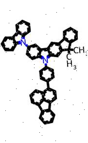 CC1(C)c2ccccc2-c2cc3c4cc(-n5c6ccccc6c6ccccc65)ccc4n(-c4ccc(-c5ccc6c7c(cccc57)-c5ccccc5-6)cc4)c3cc21